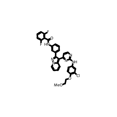 COCCOc1ccc(Nc2nccc(-c3c(-c4cccc(NC(=O)c5c(F)cccc5F)c4)nn4ccccc34)n2)cc1Cl